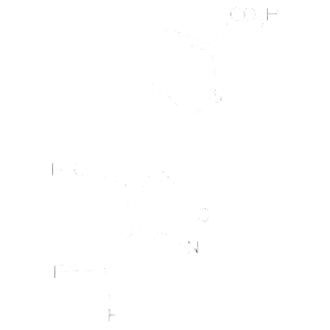 Cc1c(C(F)F)noc1-c1ccc(C(=O)O)s1